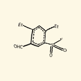 CCc1cc(CC)c(S(=O)(=O)F)cc1C=O